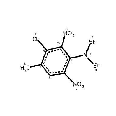 CCN(CC)c1c([N+](=O)[O-])cc(C)c(Cl)c1[N+](=O)[O-]